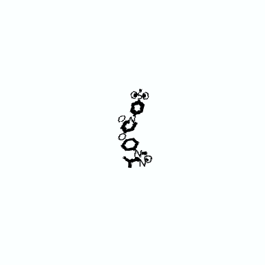 CC(C)C1=NOCN1C1CCC(Oc2ccn(-c3ccc(S(C)(=O)=O)cc3)c(=O)c2)CC1